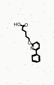 O=C(O)CCCCOc1cccc(-c2ccccc2)n1